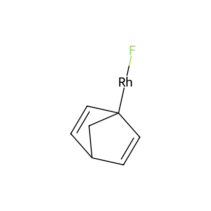 [F][Rh][C]12C=CC(C=C1)C2